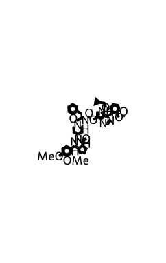 COc1ccc(C2=NN(C3CCN(C(=O)[C@@H](Cc4ccccc4)NC(=O)Oc4c[nH]c5c(-c6c(OCC7CC7)ccc7c6OCO7)ncnc45)CC3)C(=O)[C@@H]3CCC[C@H]23)cc1OC